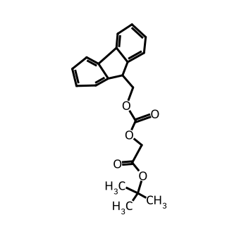 CC(C)(C)OC(=O)COC(=O)OCC1c2ccccc2-c2ccccc21